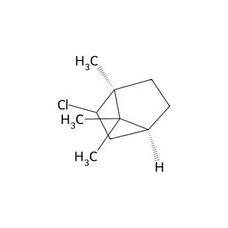 CC1(C)[C@H]2CC[C@]1(C)C(Cl)C2